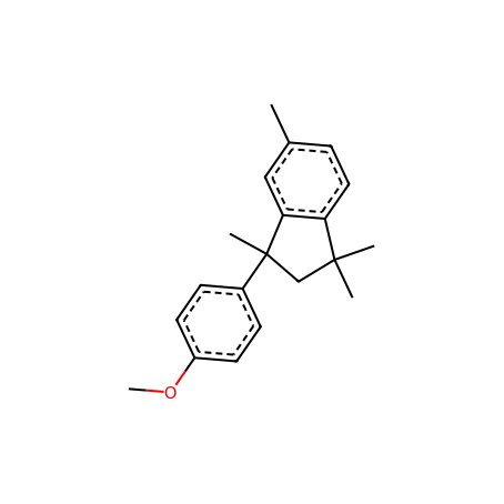 COc1ccc(C2(C)CC(C)(C)c3ccc(C)cc32)cc1